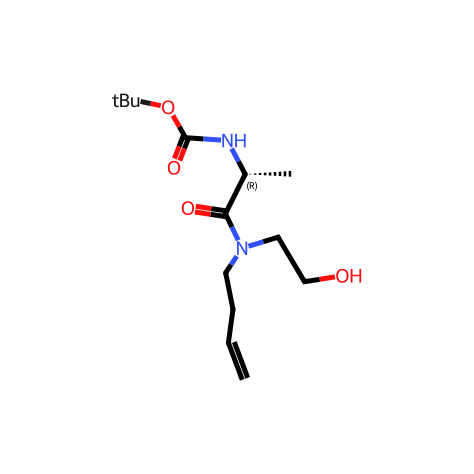 C=CCCN(CCO)C(=O)[C@@H](C)NC(=O)OC(C)(C)C